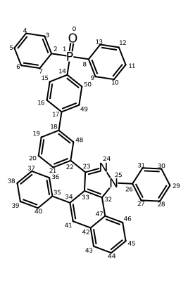 O=P(c1ccccc1)(c1ccccc1)c1ccc(-c2cccc(-c3nn(-c4ccccc4)c4c3c(-c3ccccc3)cc3ccccc34)c2)cc1